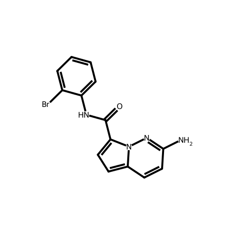 Nc1ccc2ccc(C(=O)Nc3ccccc3Br)n2n1